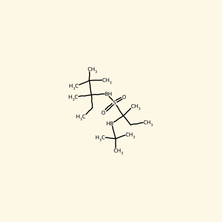 CCC(C)(BS(=O)(=O)C(C)(BC(C)(C)C)CC)C(C)(C)C